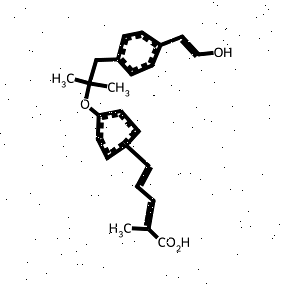 CC(=CC=Cc1ccc(OC(C)(C)Cc2ccc(C=CO)cc2)cc1)C(=O)O